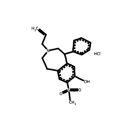 C=CCN1CCc2cc(S(C)(=O)=O)c(O)cc2C(c2ccccc2)C1.Cl